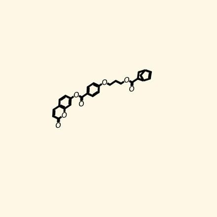 O=C(Oc1ccc2ccc(=O)oc2c1)c1ccc(OCCCOC(=O)C2CC3C=CC2C3)cc1